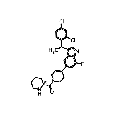 CC(c1ccc(Cl)cc1Cl)n1cnc2c(F)cc(C3=CCN(C(=O)[C@H]4CCCCN4)CC3)cc21